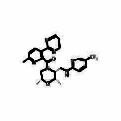 Cc1ccc(-c2ncccn2)c(C(=O)N2C[C@@H](C)O[C@@H](C)[C@H]2CNc2ccc(C(F)(F)F)cn2)n1